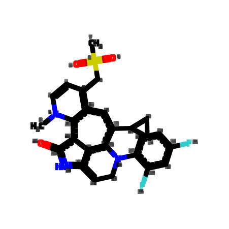 CN1C=CC(CS(C)(=O)=O)=c2cc(C3CC3)c3c4c([nH]c(=O)c-4c21)=CCN3c1ccc(F)cc1F